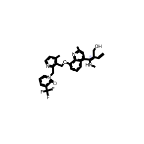 C=C/C(CO)=C(\NC)c1cc(C)nc2c(OCc3c(C)ccnc3Cn3cccc(C(F)(F)F)c3=O)cccc12